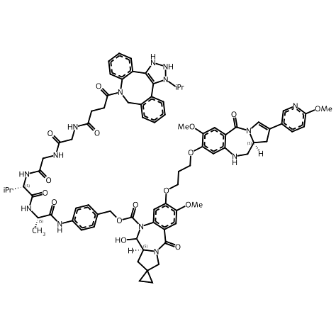 COc1ccc(C2=CN3C(=O)c4cc(OC)c(OCCCOc5cc6c(cc5OC)C(=O)N5CC7(CC7)C[C@H]5C(O)N6C(=O)OCc5ccc(NC(=O)[C@H](C)NC(=O)[C@@H](NC(=O)CNC(=O)CNC(=O)CCC(=O)N6Cc7ccccc7C7=C(NNN7C(C)C)c7ccccc76)C(C)C)cc5)cc4NC[C@@H]3C2)cn1